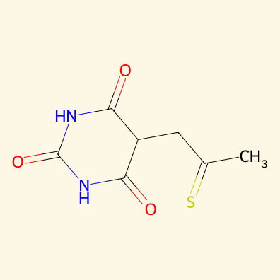 CC(=S)CC1C(=O)NC(=O)NC1=O